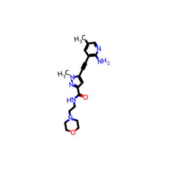 Cc1cnc(N)c(C#Cc2cc(C(=O)NCCN3CCOCC3)nn2C)c1